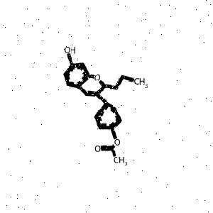 CCCC1Oc2cc(O)ccc2C=C1c1ccc(OC(C)=O)cc1